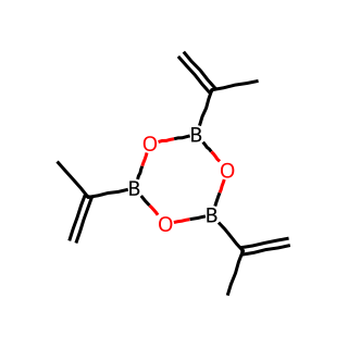 C=C(C)B1OB(C(=C)C)OB(C(=C)C)O1